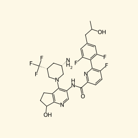 CC(O)Cc1cc(F)c(-c2nc(C(=O)Nc3cnc4c(c3N3C[C@@H](N)C[C@@H](C(F)(F)F)C3)CCC4O)ccc2F)c(F)c1